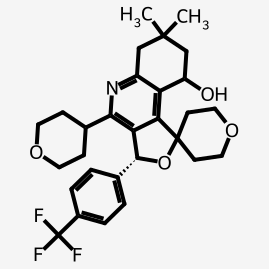 CC1(C)Cc2nc(C3CCOCC3)c3c(c2C(O)C1)C1(CCOCC1)O[C@@H]3c1ccc(C(F)(F)F)cc1